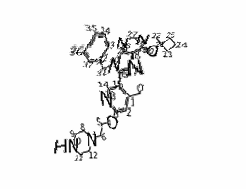 Cc1cc(OCCN2CCNCC2)ncc1-c1nc2c(OC3(C)CCC3)ncnc2n1Cc1ccccc1